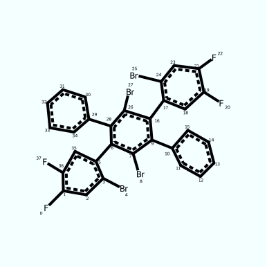 Fc1cc(Br)c(-c2c(Br)c(-c3ccccc3)c(-c3cc(F)c(F)cc3Br)c(Br)c2-c2ccccc2)cc1F